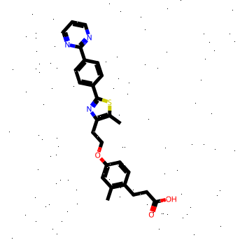 Cc1cc(OCCc2nc(-c3ccc(-c4ncccn4)cc3)sc2C)ccc1CCC(=O)O